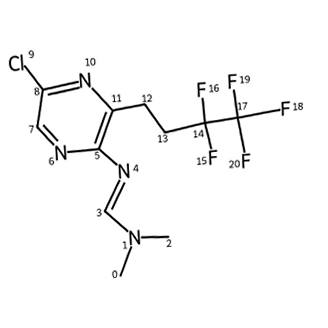 CN(C)C=Nc1ncc(Cl)nc1CCC(F)(F)C(F)(F)F